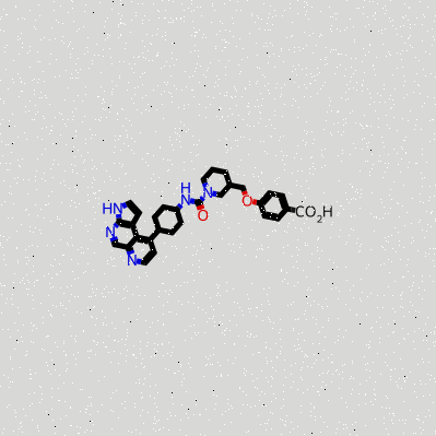 O=C(O)c1ccc(OCC2CCCN(C(=O)NC3CCC(c4ccnc5cnc6[nH]ccc6c45)CC3)C2)cc1